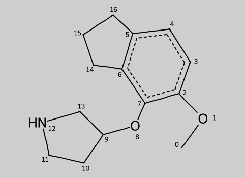 COc1ccc2c(c1OC1CCNC1)CCC2